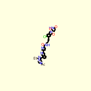 CCc1nc(-c2cccc3cc(-c4ccc(C(=O)NCCC#Cc5cc6c(cc5Cl)CN(C5CCC(=O)NC5=O)C6=O)nc4)ncc23)c2n1CCN(C(C)=O)C2